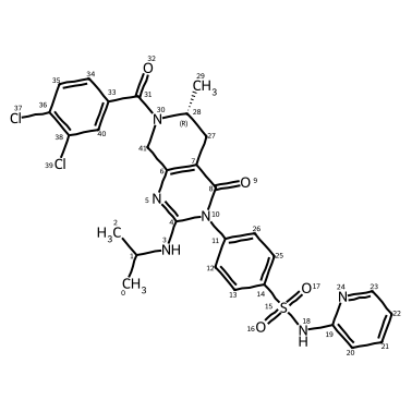 CC(C)Nc1nc2c(c(=O)n1-c1ccc(S(=O)(=O)Nc3ccccn3)cc1)C[C@@H](C)N(C(=O)c1ccc(Cl)c(Cl)c1)C2